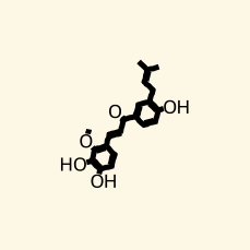 COc1c(/C=C/C(=O)c2ccc(O)c(CC=C(C)C)c2)ccc(O)c1O